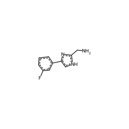 NCc1nc(-c2cccc(F)c2)c[nH]1